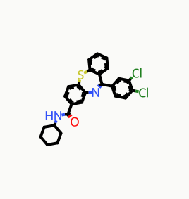 O=C(NC1CCCCC1)c1ccc2c(c1)N=C(c1ccc(Cl)c(Cl)c1)c1ccccc1S2